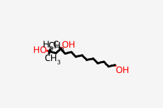 CC(C)(O)CC(C)(O)CCCCCCCCCCO